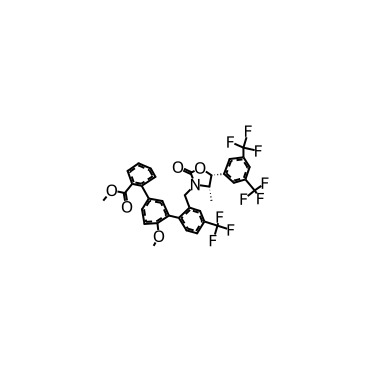 COC(=O)c1ccccc1-c1ccc(OC)c(-c2ccc(C(F)(F)F)cc2CN2C(=O)O[C@H](c3cc(C(F)(F)F)cc(C(F)(F)F)c3)[C@@H]2C)c1